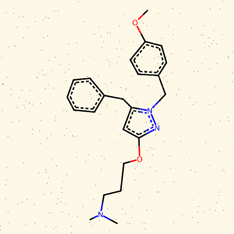 COc1ccc(Cn2nc(OCCCN(C)C)cc2Cc2ccccc2)cc1